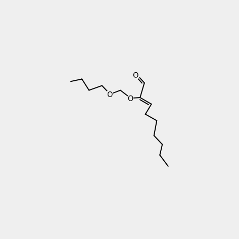 CCCCCCC=C(C=O)OCOCCCC